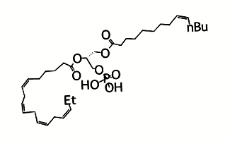 CC/C=C\C/C=C\C/C=C\C/C=C\CCCCC(=O)O[C@H](COC(=O)CCCCCCC/C=C\CCCC)COP(=O)(O)O